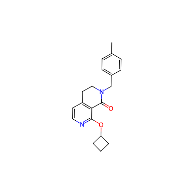 Cc1ccc(CN2CCc3ccnc(OC4CCC4)c3C2=O)cc1